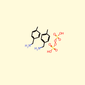 Cc1ccc(CN)cc1.Cc1ccc(CN)cc1.O=S(=O)(O)OOS(=O)(=O)O